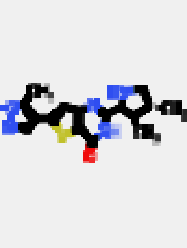 Cc1[nH]ncc1-c1cc2nc(C3NC[C@H](C)C3C)[nH]c(=O)c2s1